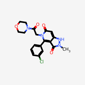 Cn1[nH]c2cc(=O)n(CC(=O)N3CCOCC3)c(-c3cccc(Cl)c3)c2c1=O